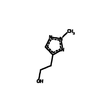 Cn1ncc(CCO)n1